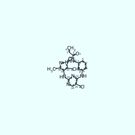 C=CC(=O)Nc1cccc(Nc2nc(Nc3c(C)nn(C)c3C)ncc2Cl)c1